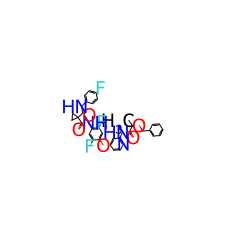 CC(OCc1ccccc1)C(=O)Nc1cc(Oc2cc(F)c(NC(=O)C3(C(=O)Nc4ccc(F)cc4)CC3)cc2F)ccn1